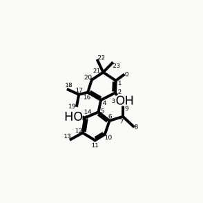 CC1=C(O)C(c2c(C(C)C)ccc(C)c2O)=C(C(C)C)CC1(C)C